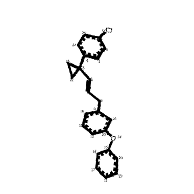 Clc1ccc(C2(C=CCc3cccc(Oc4ccccc4)c3)CC2)cc1